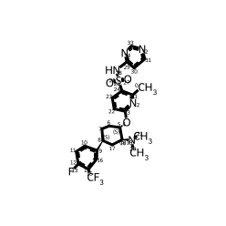 Cc1nc(O[C@H]2CC[C@H](c3ccc(F)c(C(F)(F)F)c3)C[C@@H]2N(C)C)ccc1S(=O)(=O)Nc1ccncn1